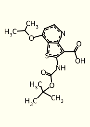 CC(C)Oc1ccnc2c(C(=O)O)c(NC(=O)OC(C)(C)C)sc12